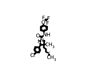 CSCCCC1(C)CN(C(=O)Nc2ccc(OC(F)(F)F)cc2)N=C1c1ccc(Cl)cc1